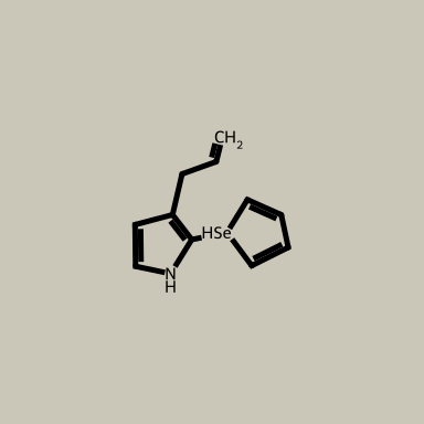 C=CCc1cc[nH]c1[SeH]1C=CC=C1